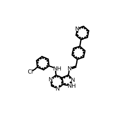 Clc1cccc(Nc2ncnc3[nH]nc(N=Cc4ccc(-c5cccnc5)cc4)c23)c1